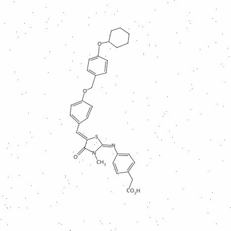 CN1C(=O)/C(=C/c2ccc(OCc3ccc(OC4CCCCC4)cc3)cc2)S/C1=N/c1ccc(CC(=O)O)cc1